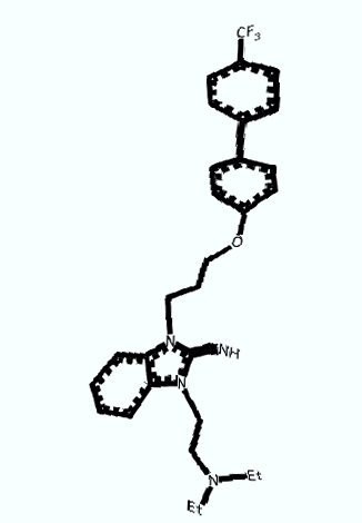 CCN(CC)CCn1c(=N)n(CCCOc2ccc(-c3ccc(C(F)(F)F)cc3)cc2)c2ccccc21